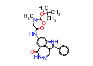 CN(CC(=O)Nc1cc2c3c(c(-c4ccccc4)[nH]c3c1)C=NNC2=O)C(=O)OC(C)(C)C